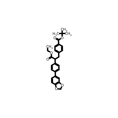 CCOC(=O)C(Cc1ccc(C(=O)OC(C)(C)C)cc1)c1ccc(-c2ccc3c(c2)OCO3)cc1